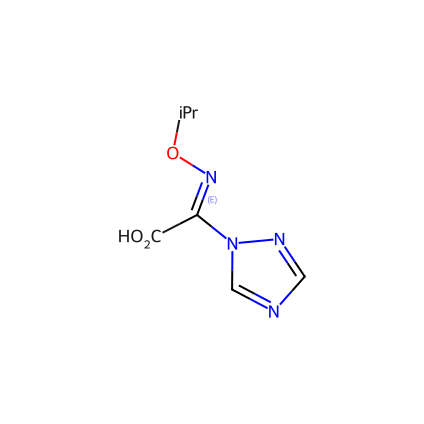 CC(C)O/N=C(\C(=O)O)n1cncn1